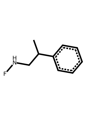 CC(CNF)c1ccccc1